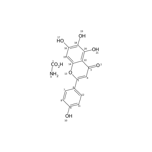 NC(=O)O.O=c1cc(-c2ccc(O)cc2)oc2cc(O)c(O)c(O)c12